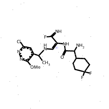 COc1nnc(Cl)cc1C(C)N/C=C(/NC(=O)C(N)C1CCC(F)(F)CC1)C(=N)F